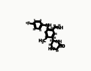 Cc1cc(Nc2ccc(F)cc2)c(C=N)cc1C1CNCC(=O)N1